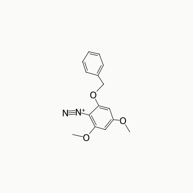 COc1cc(OC)c([N+]#N)c(OCc2ccccc2)c1